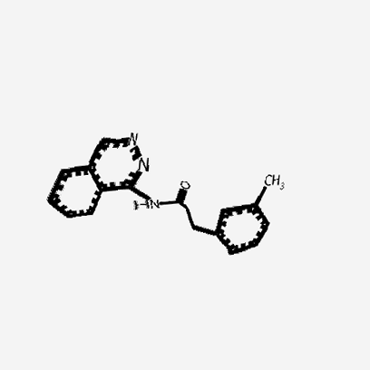 Cc1cccc(CC(=O)Nc2nncc3ccccc23)c1